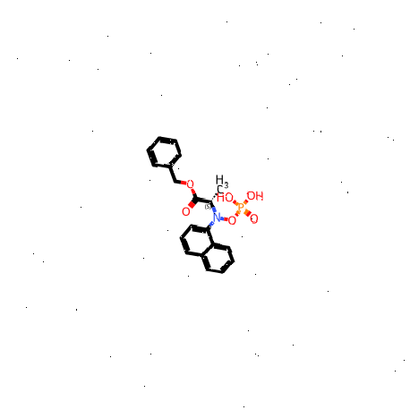 C[C@@H](C(=O)OCc1ccccc1)N(OP(=O)(O)O)c1cccc2ccccc12